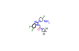 N[C@@H]1CN(c2nc3cc(F)c(F)cc3n2CC(=O)N2C[C@H]3C[C@H]3C2)CC[C@H]1F